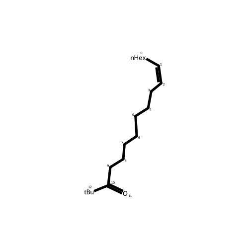 CCCCCC/C=C\CCCCCCCC(=O)C(C)(C)C